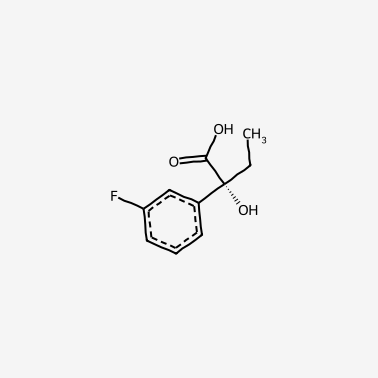 CC[C@](O)(C(=O)O)c1cccc(F)c1